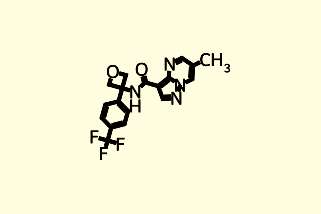 Cc1cnc2c(C(=O)NC3(c4ccc(C(F)(F)F)cc4)COC3)cnn2c1